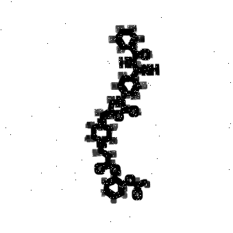 CC(=O)Oc1ccccc1OC(=O)CCN1CCN(CC2CN(c3ccc(C(=N)NC(=O)c4ccccc4)cc3)C(=O)O2)CC1